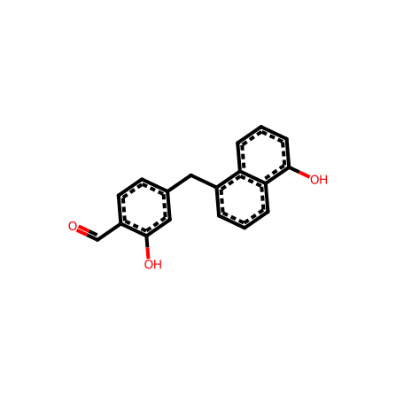 O=Cc1ccc(Cc2cccc3c(O)cccc23)cc1O